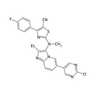 CCc1nc2ccc(-c3cnc(Cl)nc3)cn2c1N(C)c1nc(-c2ccc(F)cc2)c(C#N)s1